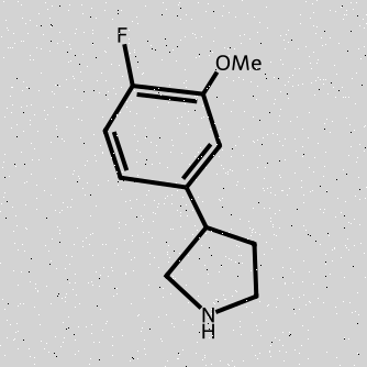 COc1cc(C2CCNC2)ccc1F